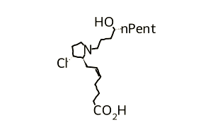 CCCCC[C@@H](O)CCCN1CC[C@@H](Cl)[C@@H]1C/C=C\CCCC(=O)O